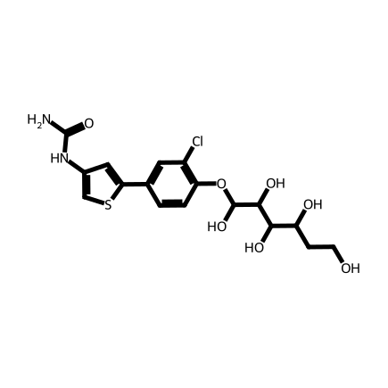 NC(=O)Nc1csc(-c2ccc(OC(O)C(O)C(O)C(O)CCO)c(Cl)c2)c1